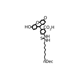 CCCCCCCCCCCCCCCCCCNC(=S)Nc1ccc(-c2c3ccc(=O)cc-3oc3cc(O)ccc23)c(C(=O)O)c1